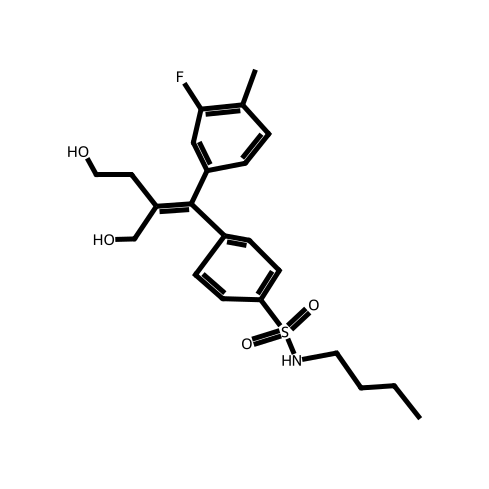 CCCCNS(=O)(=O)c1ccc(/C(=C(\CO)CCO)c2ccc(C)c(F)c2)cc1